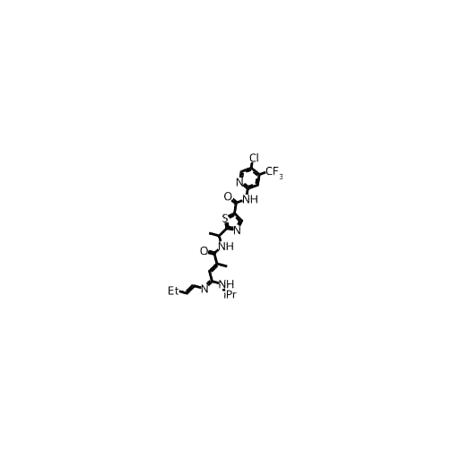 CC/C=C/N=C(\C=C(/C)C(=O)NC(C)c1ncc(C(=O)Nc2cc(C(F)(F)F)c(Cl)cn2)s1)NC(C)C